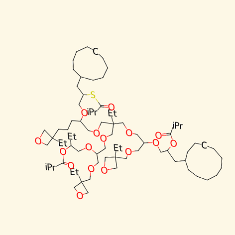 CCC(COC(COCC(CC)(COCC(CCCC1(CC)COC1)OCC(CC1CCCCCCCCC1)SC(=O)C(C)C)COCC(COCC1(CC)COC1)OCC(CC1CCCCCCCCCC1)OC(=O)C(C)C)COCC1(CC)COC1)OC(=O)C(C)C